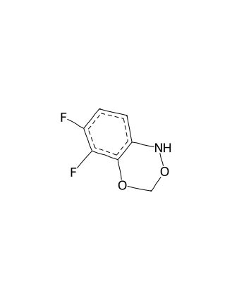 Fc1ccc2c(c1F)OCON2